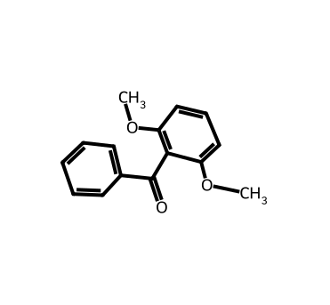 COc1cccc(OC)c1C(=O)c1ccccc1